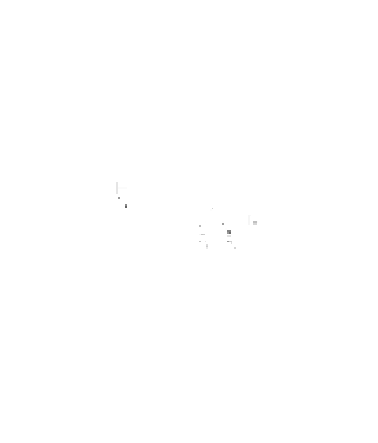 C#CCNC(=O)c1ccc(S(=O)(=O)n2cnc(C3CCC3)n2)cc1